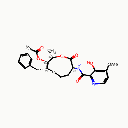 COc1ccnc(C(=O)N[C@H]2CCC[C@H](Cc3ccccc3)[C@@H](OC(=O)C(C)C)[C@H](C)OC2=O)c1O